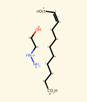 CCCCCCCC/C=C\CCCCCCCC(=O)O.NNCCO